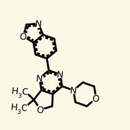 CC1(C)OCc2c(N3CCOCC3)nc(-c3ccc4ncoc4c3)nc21